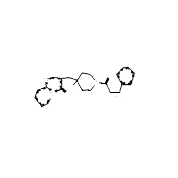 C[C@H](CC(=O)N1CCC(O)(Cc2cnc3ccccn3c2=O)CC1)c1ccccc1